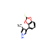 N#Cc1c[nH]cc1-c1cccc2c1OC(F)O2